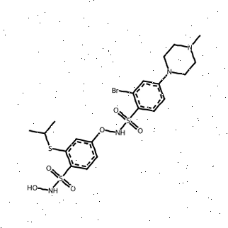 CC(C)Sc1cc(ONS(=O)(=O)c2ccc(N3CCN(C)CC3)cc2Br)ccc1S(=O)(=O)NO